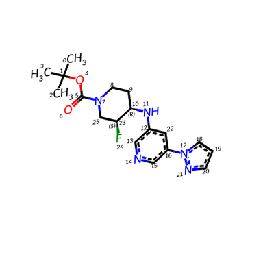 CC(C)(C)OC(=O)N1CC[C@@H](Nc2cncc(-n3cccn3)c2)[C@@H](F)C1